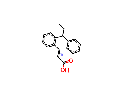 CCC(c1ccccc1)c1ccccc1/C=C/C(=O)O